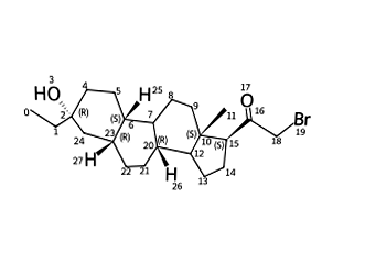 CC[C@@]1(O)CC[C@@H]2C3CC[C@@]4(C)C(CC[C@@H]4C(=O)CBr)[C@@H]3CC[C@@H]2C1